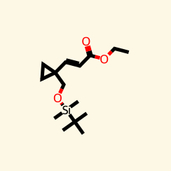 CCOC(=O)C=CC1(CO[Si](C)(C)C(C)(C)C)CC1